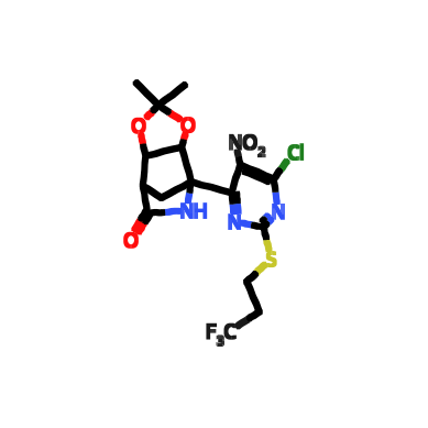 CC1(C)OC2C3CC(c4nc(SCCC(F)(F)F)nc(Cl)c4[N+](=O)[O-])(NC3=O)C2O1